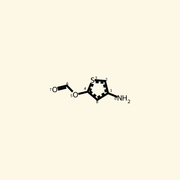 Nc1csc(OC=O)c1